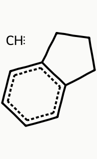 [CH].c1ccc2c(c1)CCC2